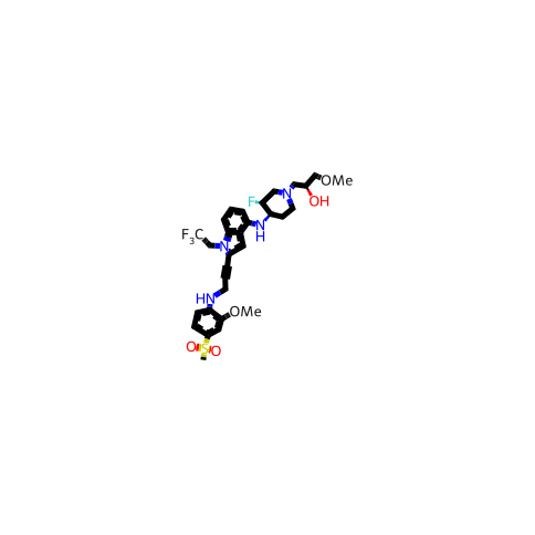 COC[C@@H](O)CN1CC[C@@H](Nc2cccc3c2cc(C#CCNc2ccc(S(C)(=O)=O)cc2OC)n3CC(F)(F)F)[C@@H](F)C1